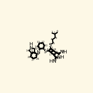 CC(C)CCCSc1c(Sc2ccccc2N)c2c1c1c(=N)[nH]c(=N)c21.c1ccc2c(c1)CNC2